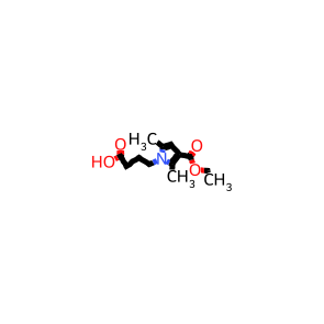 CCOC(=O)c1cc(C)n(CCCC(=O)O)c1C